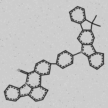 CC1(C)c2ccccc2-c2cc3c(cc21)c1ccccc1n3-c1ccc(-c2ccc3c(=O)n4c5ccccc5c5cccc(c3c2)c54)cc1